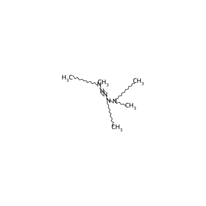 CCCCCCCCCCCCCN(C)CCN1CCN(CCN(CCCCCCCCCCCC)CCN(CCCCCC)CCCCCCCCCCCCC)CC1